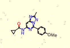 COc1ccc(-c2nc(NC(=O)C3CC3)cc3nc(C)nn23)cc1